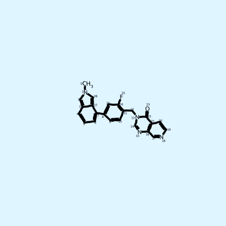 Cn1cc2cccc(-c3ccc(Cn4cnc5cnccc5c4=O)c(F)c3)c2c1